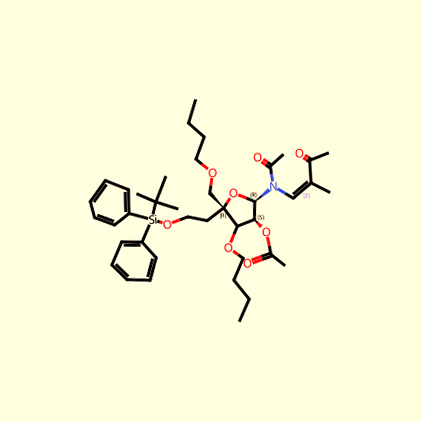 CCCCOC[C@@]1(CCO[Si](c2ccccc2)(c2ccccc2)C(C)(C)C)O[C@@H](N(/C=C(/C)C(C)=O)C(C)=O)[C@@H](OC(C)=O)C1OCCCC